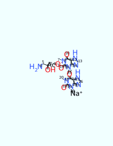 CC(=O)[O-].CC(O)CN.Cn1c(=O)c2[nH]cnc2n(C)c1=O.Cn1c(=O)c2[nH]cnc2n(C)c1=O.[Na+]